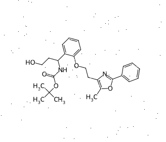 Cc1oc(-c2ccccc2)nc1CCOc1ccccc1C(CCO)NC(=O)OC(C)(C)C